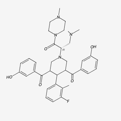 Cc1c(F)cccc1C1C(C(=O)c2cccc(O)c2)CN([C@@H](CN(C)C)C(=O)N2CCN(C)CC2)CC1C(=O)c1cccc(O)c1